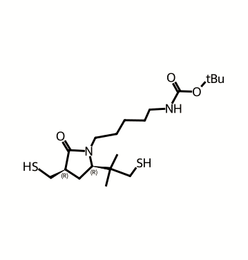 CC(C)(C)OC(=O)NCCCCCN1C(=O)[C@H](CS)C[C@@H]1C(C)(C)CS